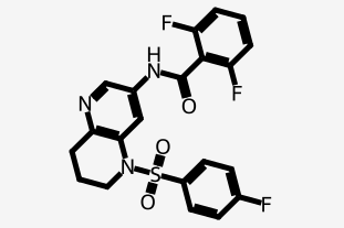 O=C(Nc1cnc2c(c1)N(S(=O)(=O)c1ccc(F)cc1)CCC2)c1c(F)cccc1F